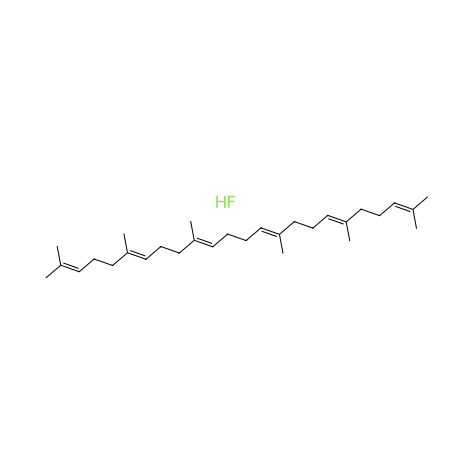 CC(C)=CCC/C(C)=C/CC/C(C)=C/CC/C=C(\C)CC/C=C(\C)CCC=C(C)C.F